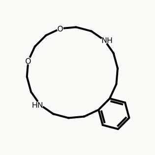 c1ccc2c(c1)CCCNCCOCCOCCNCCC2